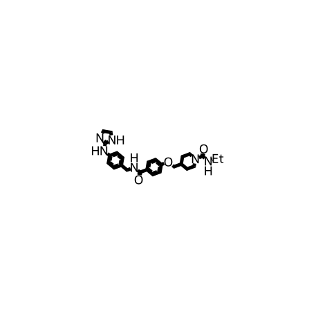 CCNC(=O)N1CCC(COc2ccc(C(=O)NCc3ccc(NC4=NCCN4)cc3)cc2)CC1